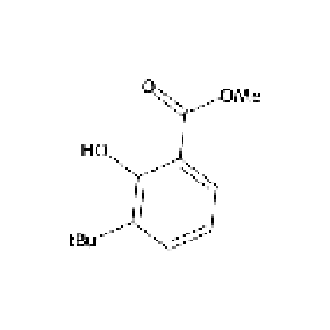 COC(=O)c1cccc(C(C)(C)C)c1O